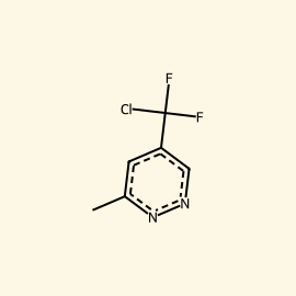 Cc1cc(C(F)(F)Cl)cnn1